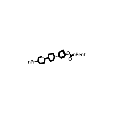 CCCCCC(=O)Oc1ccc([C@H]2CC[C@H]([C@H]3CC[C@H](CCC)CC3)CC2)cc1